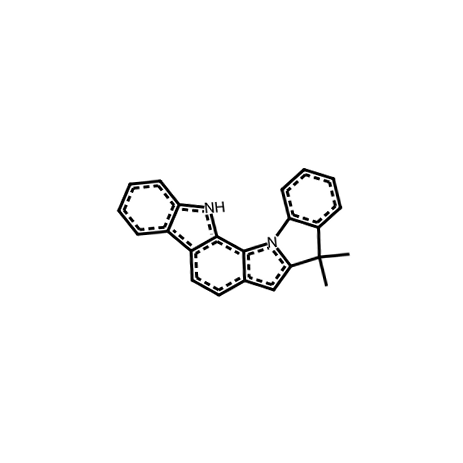 CC1(C)c2ccccc2-n2c1cc1ccc3c4ccccc4[nH]c3c12